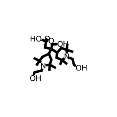 CC1(C)CC(C(CC(=O)O)(C(=O)O)C2CC(C)(C)N(CCO)C(C)(C)C2)CC(C)(C)N1CCO